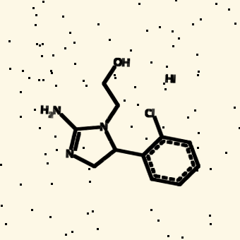 I.NC1=NCC(c2ccccc2Cl)N1CCO